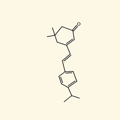 CC(C)c1ccc(C=CC2=CC(=O)CC(C)(C)C2)cc1